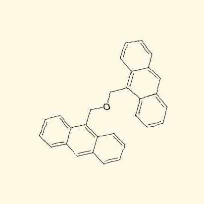 c1ccc2c(COCc3c4ccccc4cc4ccccc34)c3ccccc3cc2c1